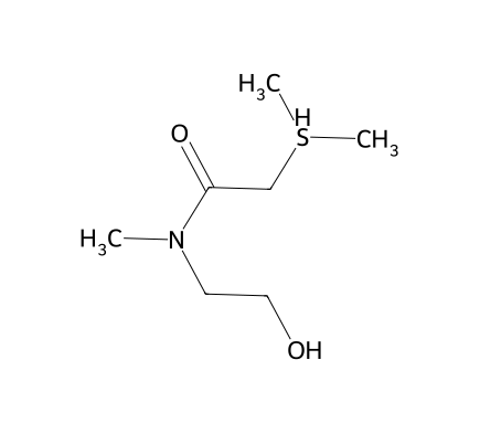 CN(CCO)C(=O)C[SH](C)C